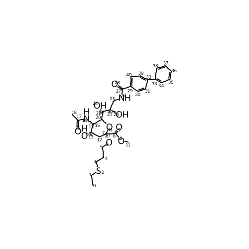 CCSCCCO[C@]1(C(=O)OC)C[C@H](O)[C@@H](NC(C)=O)C([C@H](O)[C@H](O)CNC(=O)c2ccc(-c3ccccc3)cc2)O1